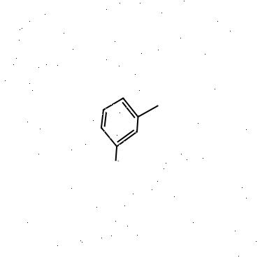 [CH2]c1cccc(C)c1